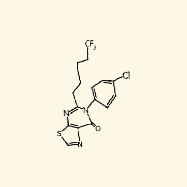 O=c1c2ncsc2nc(CCCCC(F)(F)F)n1-c1ccc(Cl)cc1